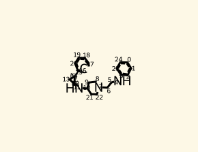 c1ccc(NCCN2CCC(N[C@@H]3C[C@H]3c3ccccc3)CC2)cc1